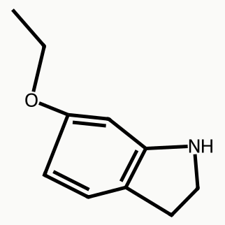 CCOc1ccc2c(c1)NCC2